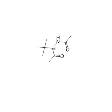 CC(=O)N[C@H](C(C)=O)C(C)(C)C